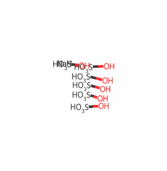 O=S(=O)(O)O.O=S(=O)(O)O.O=S(=O)(O)O.O=S(=O)(O)O.O=S(=O)(O)O.O=S(=O)(O)O.[NaH]